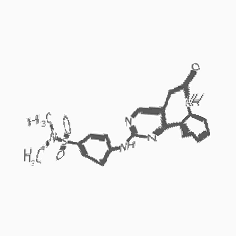 CN(C)S(=O)(=O)c1ccc(Nc2ncc3c(n2)-c2ccccc2NC(=O)C3)cc1